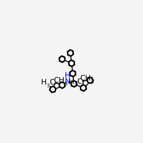 CC1(C)c2ccccc2-c2ccc(Nc3ccc(-c4cccc5c4C(C)(C)c4ccccc4-5)cc3-c3ccc(-c4ccc(-c5ccccc5)c(-c5ccccc5)c4)cc3)cc21